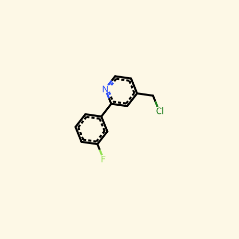 Fc1cccc(-c2cc(CCl)ccn2)c1